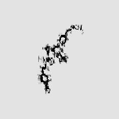 COCCC1CCN(c2cc(N3CC[C@H]3C(=O)NCCc3ccc(C#N)cc3)nc(C(F)(F)F)n2)CC1